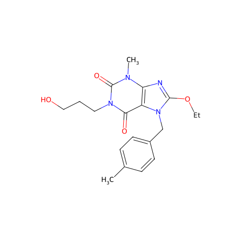 CCOc1nc2c(c(=O)n(CCCO)c(=O)n2C)n1Cc1ccc(C)cc1